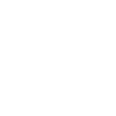 NC(=O)C(Cc1ccccc1)(Oc1ccccc1)C(=O)O